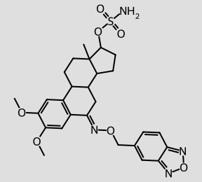 COc1cc2c(cc1OC)C1CCC3(C)C(OS(N)(=O)=O)CCC3C1C/C2=N\OCc1ccc2nonc2c1